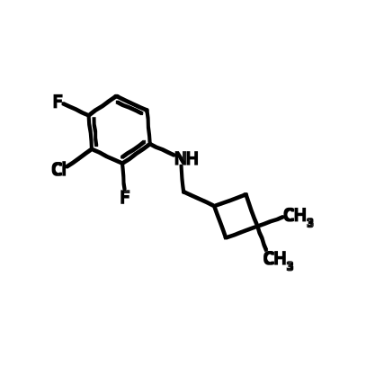 CC1(C)CC(CNc2ccc(F)c(Cl)c2F)C1